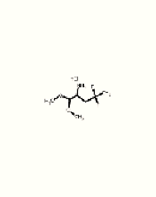 COC(OC)C(N)CC(C)(F)F.Cl